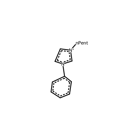 CCCCC[n+]1ccn(-c2ccccc2)c1